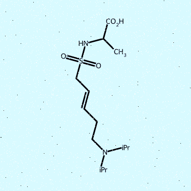 CC(NS(=O)(=O)CC=CCCN(C(C)C)C(C)C)C(=O)O